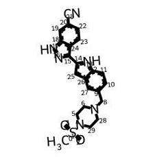 CS(=O)(=O)N1CCN(Cc2ccc3[nH]c(-c4n[nH]c5cc(C#N)ccc45)cc3c2)CC1